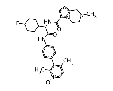 Cc1cc[n+]([O-])c(C)c1-c1ccc(NC(=O)[C@@H](NC(=O)c2ccc3n2CCN(C)C3)C2CCC(F)CC2)cc1